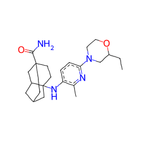 CCC1CN(c2ccc(NC34CCC5(C(N)=O)CC(CC3C5)C4)c(C)n2)CCO1